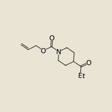 C=CCOC(=O)N1CCC(C(=O)CC)CC1